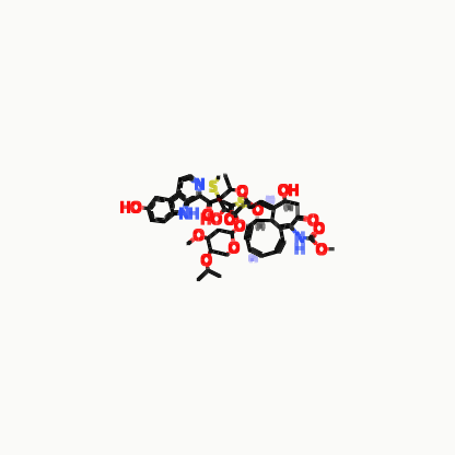 COC(=O)NC1=C2C#C/C=C\C#C[C@H](OC3OC(C)C(SC)(C(=O)c4nccc5c4[nH]c4ccc(O)cc45)C(O)C3OC3CC(OC)C(OC(C)C)CO3)C2/C(=C\CSC(C)=O)[C@@H](O)CC1=O